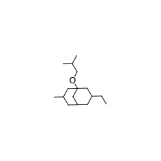 CCC1CC2CC(C)CC(OCC(C)C)(C1)C2